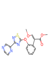 CO/C=C(/C(=O)OC)c1ccccc1Oc1nc(-c2cnccn2)ns1